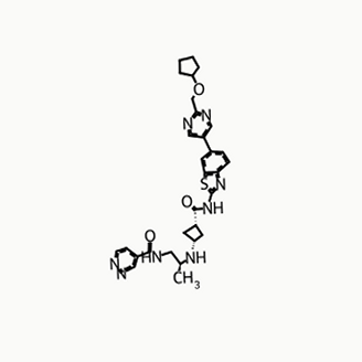 C[C@@H](CNC(=O)c1ccnnc1)N[C@H]1C[C@@H](C(=O)Nc2nc3ccc(-c4cnc(COC5CCCC5)nc4)cc3s2)C1